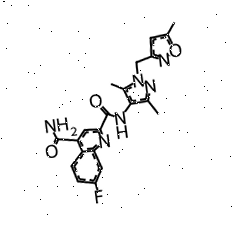 Cc1cc(Cn2nc(C)c(NC(=O)c3cc(C(N)=O)c4ccc(F)cc4n3)c2C)no1